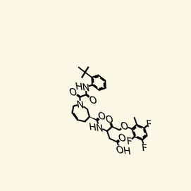 Cc1c(F)cc(F)c(F)c1OCC(=O)C(CC(=O)O)NC(=O)[C@H]1CC=CCN(C(=O)C(=O)Nc2ccccc2C(C)(C)C)C1